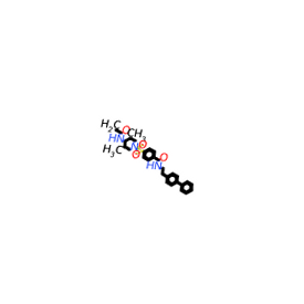 C=CC(=O)NC1C(C)CN(S(=O)(=O)c2ccc(C(=O)NCCc3ccc(-c4ccccc4)cc3)cc2)CC1C